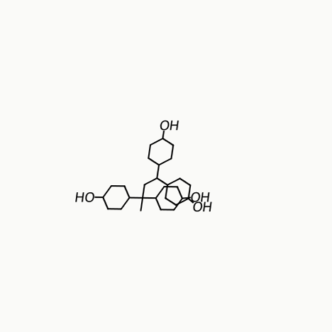 CC(CC(C1CCC(O)CC1)C1CCC(O)CC1)(C1CCC(O)CC1)C1CCC(O)CC1